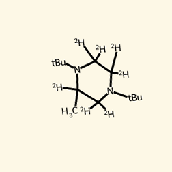 [2H]C1([2H])N(C(C)(C)C)C([2H])([2H])C([2H])(C)N(C(C)(C)C)C1([2H])[2H]